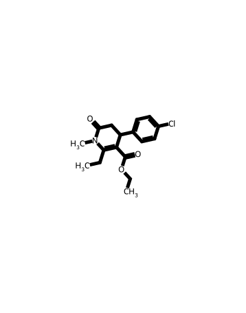 CCOC(=O)C1=C(CC)N(C)C(=O)CC1c1ccc(Cl)cc1